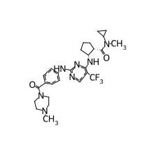 CN1CCN(C(=O)c2ccc(Nc3ncc(C(F)(F)F)c(N[C@@H]4CCC[C@@H]4C(=O)N(C)C4CC4)n3)cc2)CC1